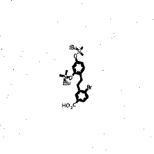 CC(C)(C)[Si](C)(C)Oc1ccc(CCc2cc(C(=O)O)ccc2Br)c(O[Si](C)(C)C(C)(C)C)c1